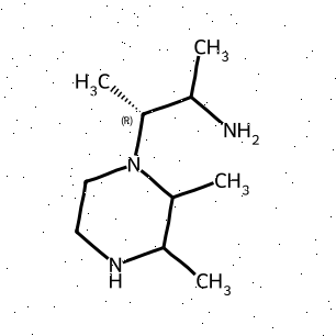 CC1NCCN([C@H](C)C(C)N)C1C